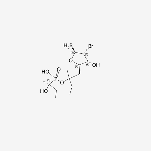 B[C@@H]1O[C@H](CC(C)(CC)OP(=O)(O)[C@](C)(O)CC)[C@@H](O)[C@H]1Br